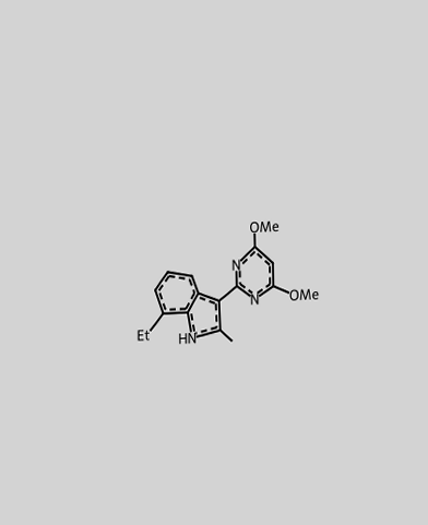 CCc1cccc2c(-c3nc(OC)cc(OC)n3)c(C)[nH]c12